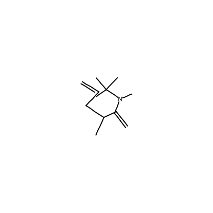 C=CCC(C)C(=C)N(C)C(C)(C)C